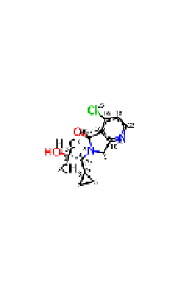 CC(C)(O)[C@@H](C1CC1)N1Cc2nccc(Cl)c2C1=O